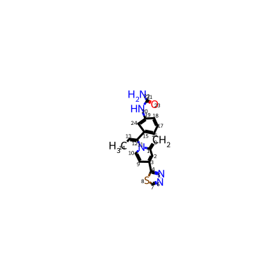 C=C1C=C(c2nncs2)C=CN1/C(=C\C)c1cccc(NC(N)=O)c1